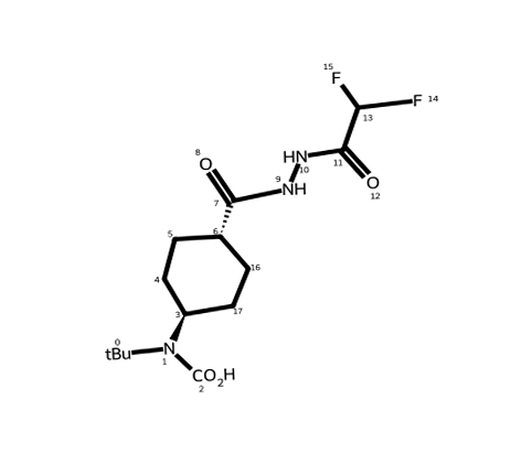 CC(C)(C)N(C(=O)O)[C@H]1CC[C@H](C(=O)NNC(=O)C(F)F)CC1